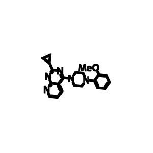 COc1ccccc1N1CCN(c2nc(C3CC3)nc3ncccc23)CC1